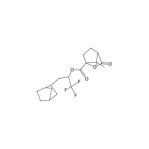 CC1(C)C2CCC1(C(=O)OC(CC1CC3CCC1C3)C(F)(F)F)OC2=O